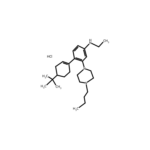 CCCCN1CCN(c2cc(NCC)ccc2C2=CCC(C(C)(C)C)CC2)CC1.Cl